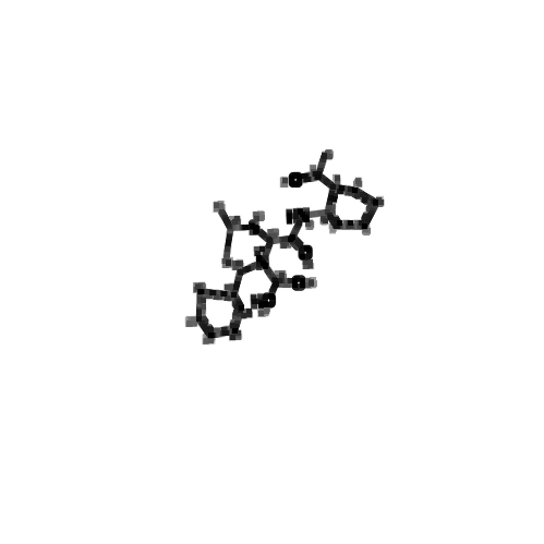 CC(=O)c1ccccc1NC(=O)C(SC(C)C)N(Cc1ccccc1)C(=O)O